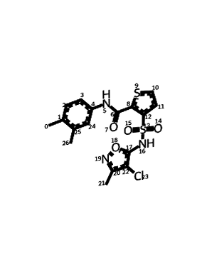 Cc1ccc(NC(=O)c2sccc2S(=O)(=O)Nc2onc(C)c2Cl)cc1C